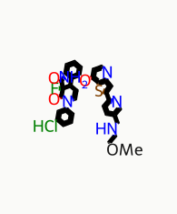 COCCNCc1ccc(-c2cc3nccc(Oc4ccccc4C4C=CN(c5ccccc5)C(=O)C4(F)C(N)=O)c3s2)nc1.Cl